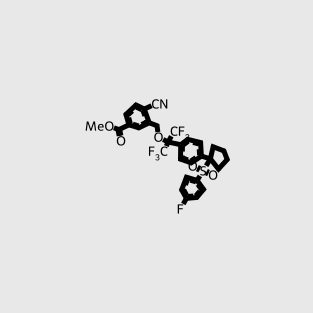 COC(=O)c1ccc(C#N)c(COC(c2ccc(C3(S(=O)(=O)c4ccc(F)cc4)CCCC3)cc2)(C(F)(F)F)C(F)(F)F)c1